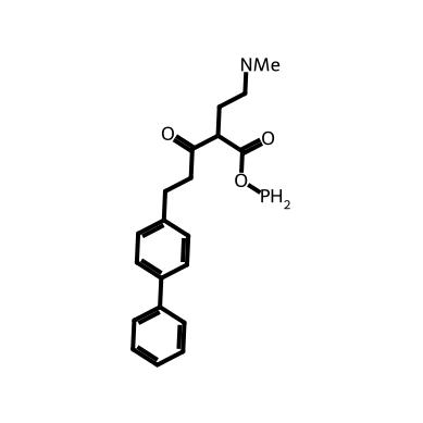 CNCCC(C(=O)CCc1ccc(-c2ccccc2)cc1)C(=O)OP